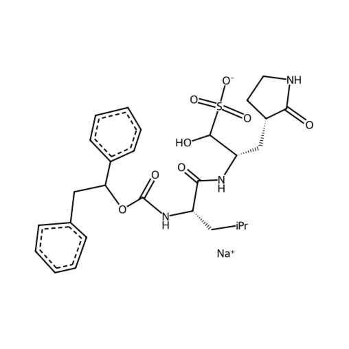 CC(C)C[C@H](NC(=O)OC(Cc1ccccc1)c1ccccc1)C(=O)N[C@@H](C[C@@H]1CCNC1=O)C(O)S(=O)(=O)[O-].[Na+]